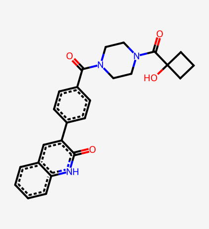 O=C(c1ccc(-c2cc3ccccc3[nH]c2=O)cc1)N1CCN(C(=O)C2(O)CCC2)CC1